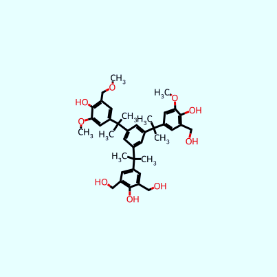 COCc1cc(C(C)(C)c2cc(C(C)(C)c3cc(CO)c(O)c(CO)c3)cc(C(C)(C)c3cc(CO)c(O)c(OC)c3)c2)cc(OC)c1O